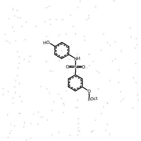 CCCCCCCCOc1cccc(S(=O)(=O)Nc2ccc(O)cc2)c1